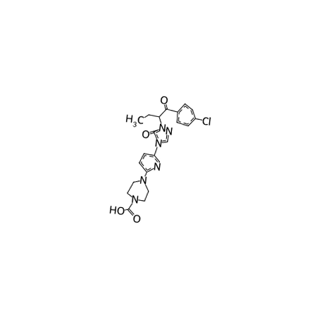 CCC(C(=O)c1ccc(Cl)cc1)n1ncn(-c2ccc(N3CCN(C(=O)O)CC3)nc2)c1=O